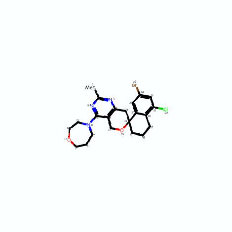 CSc1nc2c(c(N3CCCOCC3)n1)COC1(CCCc3c(Cl)cc(Br)cc31)C2